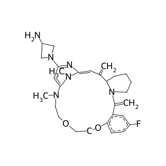 C=C1/C=C2/N=C(N3CC(N)C3)C=C(N(C)CCOCCOc3ccc(F)cc3C(=C)N3CCCCC13)N2C